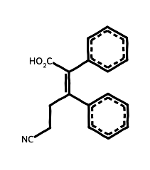 N#CCCC(=C(C(=O)O)c1ccccc1)c1ccccc1